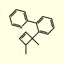 CC1C=CC1(C)c1ccccc1-c1ccccn1